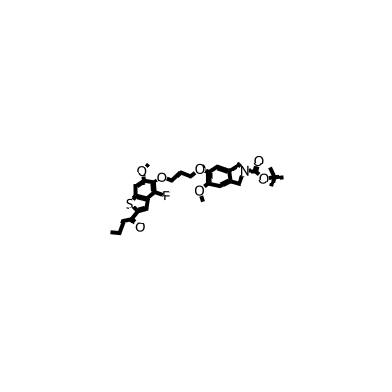 CCCC(=O)c1cc2c(F)c(OCCCOc3cc4c(cc3OC)CN(C(=O)OC(C)(C)C)C4)c(OC)cc2s1